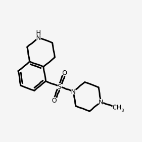 CN1CCN(S(=O)(=O)c2cccc3c2CCNC3)CC1